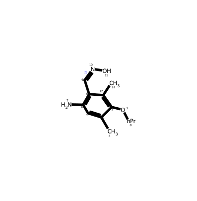 [CH2]CCOc1c(C)cc(N)c(/C=N\O)c1C